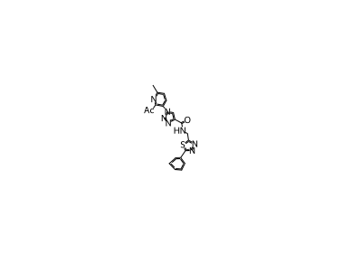 CC(=O)c1nc(C)ccc1-n1cc(C(=O)NCc2nnc(-c3ccccc3)s2)nn1